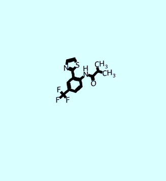 CC(C)C(=O)Nc1ccc(C(F)(F)F)cc1-c1nccs1